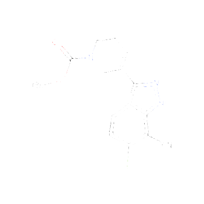 CC(C)(C)OC(=O)N1CCC=C(c2n[nH]c3c(C#N)c(F)ccc23)C1